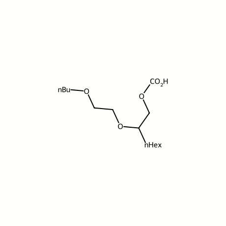 CCCCCCC(COC(=O)O)OCCOCCCC